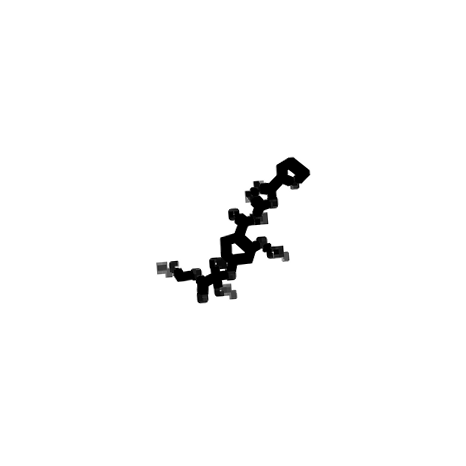 CCOC(=O)C(C)(C)Oc1ccc(C(=O)Nc2nnc(-c3cccs3)o2)c(OC)c1